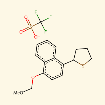 COCOc1ccc(C2CCCS2)c2ccccc12.O=S(=O)(O)C(F)(F)F